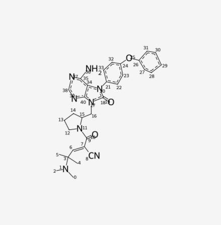 CN(C)C(C)(C)C=C(C#N)C(=O)N1CCCC1Cn1c(=O)n(-c2ccc(Oc3ccccc3)cc2)c2c(N)ncnc21